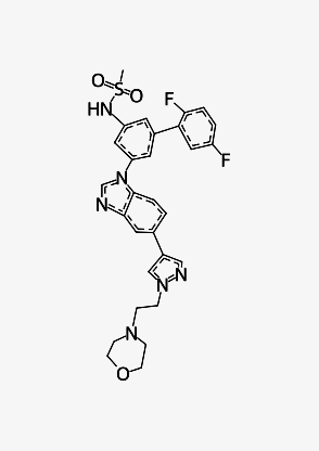 CS(=O)(=O)Nc1cc(-c2cc(F)ccc2F)cc(-n2cnc3cc(-c4cnn(CCN5CCOCC5)c4)ccc32)c1